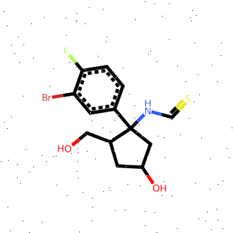 OCC1CC(O)CC1(N[C]=S)c1ccc(F)c(Br)c1